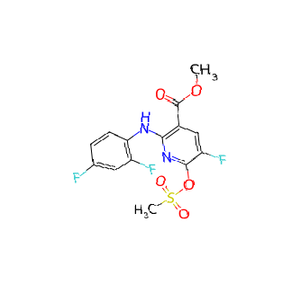 COC(=O)c1cc(F)c(OS(C)(=O)=O)nc1Nc1ccc(F)cc1F